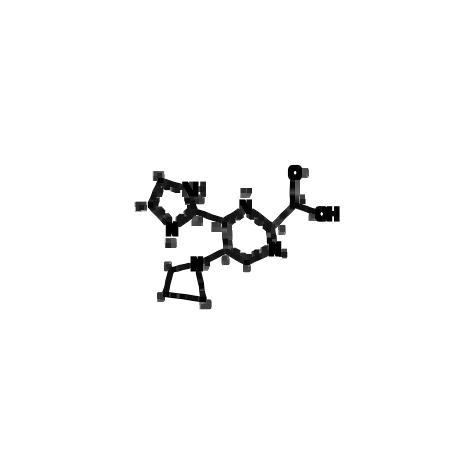 O=C(O)c1ncc(N2CCC2)c(-c2ncc[nH]2)n1